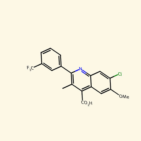 COc1cc2c(C(=O)O)c(C)c(-c3cccc(C(F)(F)F)c3)nc2cc1Cl